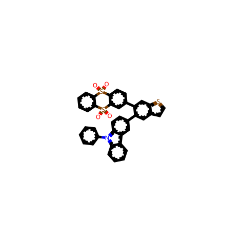 O=S1(=O)c2ccccc2S(=O)(=O)c2cc(-c3cc4sccc4cc3-c3ccc4c(c3)c3ccccc3n4-c3ccccc3)ccc21